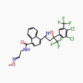 CON=CCNC(=O)c1ccc(C2=NOC(c3cc(Cl)c(Cl)c(C(F)(F)F)c3)(C(F)(F)F)C2)c2ccccc12